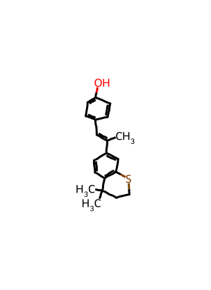 C/C(=C\c1ccc(O)cc1)c1ccc2c(c1)SCCC2(C)C